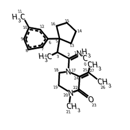 C/N=C(/C(C)C1(c2cccc(C)c2)CCCC1)N1CCN(C)C(=O)C1=C(C)C